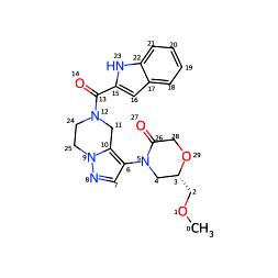 COC[C@@H]1CN(c2cnn3c2CN(C(=O)c2cc4ccccc4[nH]2)CC3)C(=O)CO1